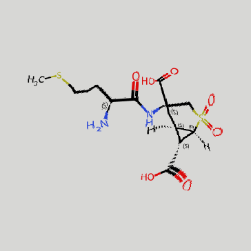 CSCC[C@H](N)C(=O)N[C@@]1(C(=O)O)CS(=O)(=O)[C@H]2[C@H](C(=O)O)[C@H]21